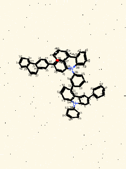 c1ccc(-c2ccc3c(c2)c2c(-c4cccc(N(c5ccc(-c6ccc7c(ccc8ccccc87)c6)cc5)c5ccccc5-c5ccccc5)c4)cccc2n3-c2ccccc2)cc1